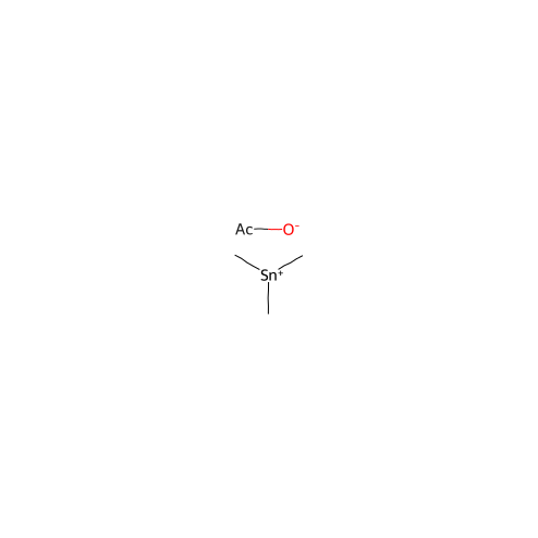 CC(=O)[O-].[CH3][Sn+]([CH3])[CH3]